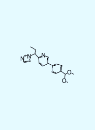 CCC(c1ccc(-c2ccc(C(OC)OC)cc2)cn1)n1ccnc1